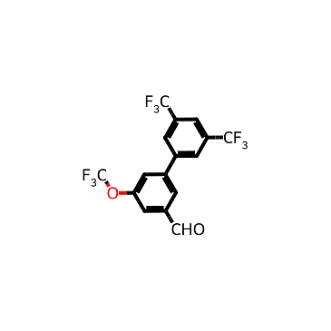 O=Cc1cc(OC(F)(F)F)cc(-c2cc(C(F)(F)F)cc(C(F)(F)F)c2)c1